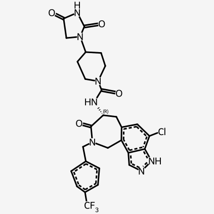 O=C1CN(C2CCN(C(=O)N[C@@H]3Cc4cc(Cl)c5[nH]ncc5c4CN(Cc4ccc(C(F)(F)F)cc4)C3=O)CC2)C(=O)N1